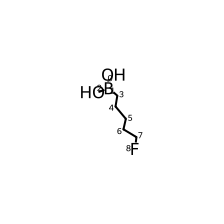 OB(O)CCCCCF